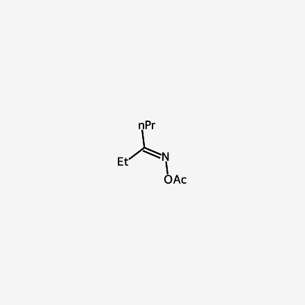 CCCC(CC)=NOC(C)=O